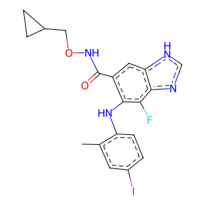 Cc1cc(I)ccc1Nc1c(C(=O)NOCC2CC2)cc2[nH]cnc2c1F